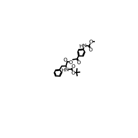 COC(=O)Nc1ccc(C(=O)COC(=O)C(Cc2ccccc2)NC(=O)OC(C)(C)C)cc1